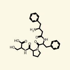 NC(CC(=O)NC(Cc1ccccc1)C(=O)N1CCCC1C(=O)NC(CO)C(=O)O)Cc1ccccc1